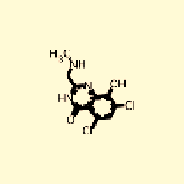 CNCc1nc2c(O)c(Cl)cc(Cl)c2c(=O)[nH]1